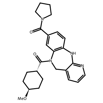 CO[C@H]1CC[C@H](C(=O)N2Cc3cccnc3Nc3ccc(C(=O)N4CCCC4)cc32)CC1